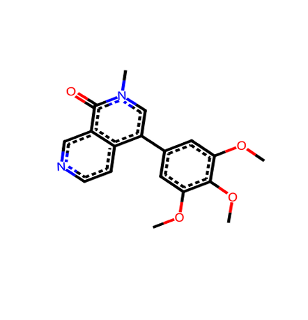 COc1cc(-c2cn(C)c(=O)c3cnccc23)cc(OC)c1OC